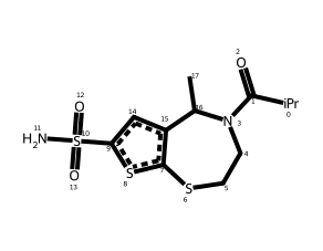 CC(C)C(=O)N1CCSc2sc(S(N)(=O)=O)cc2C1C